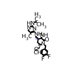 COC[C@H]1C/C(=C/Nc2nc(NC(C)C)ncc2C)C(=N)C(=O)N1Cc1ccc(F)c(F)c1